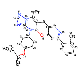 CCCc1c(Cc2ccc(-c3ccccc3C#N)nc2)c(=O)n([C@H]2CC[C@H](OC(CC)C(=O)O)CC2)c2ncnn12